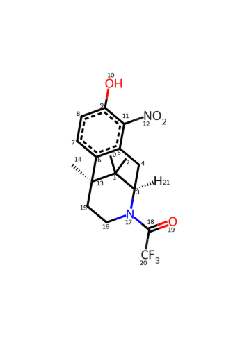 CC1(C)[C@H]2Cc3c(ccc(O)c3[N+](=O)[O-])[C@]1(C)CCN2C(=O)C(F)(F)F